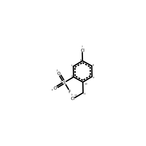 O=S(=O)(F)c1cc(Cl)ccc1CCl